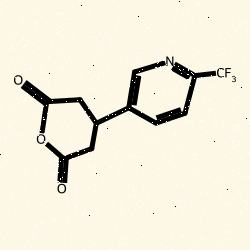 O=C1CC(c2ccc(C(F)(F)F)nc2)CC(=O)O1